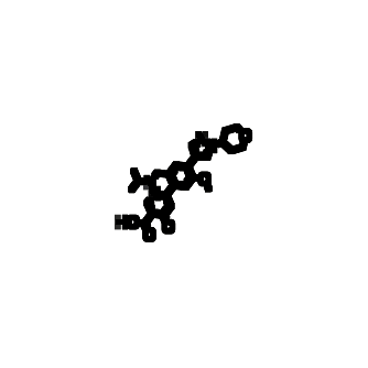 COc1cc2c(cc1-c1cnn(C3CCOCC3)c1)CN(C(C)C)n1cc(C(=O)O)c(=O)cc1-2